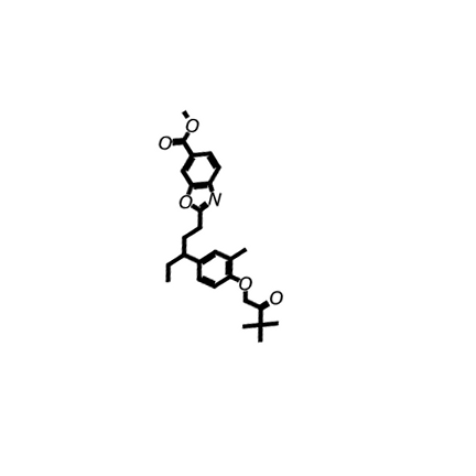 CCC(CCc1nc2ccc(C(=O)OC)cc2o1)c1ccc(OCC(=O)C(C)(C)C)c(C)c1